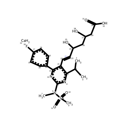 CC(C)c1nc(N(C)S(C)(=O)=O)nc(-c2ccc(F)cc2)c1/C=C/C(O)CC(O)CC(=O)O.[CaH2]